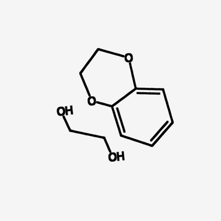 OCCO.c1ccc2c(c1)OCCO2